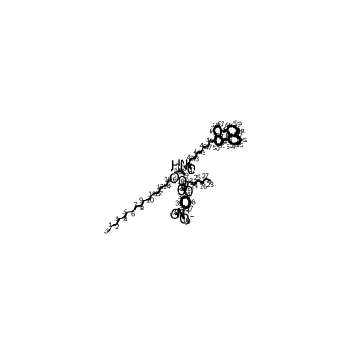 CCCCCCCCCCCCCCCCOCC(COP(=O)(CCCCCC)Oc1ccc([N+](=O)[O-])cc1)NC(=O)CCCCCCCc1ccc2c3cccc4cccc(c5cccc1c52)c43